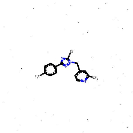 CCc1nc(-c2ccc(C(F)(F)F)cc2)nn1Cc1ccnc(C(F)(F)F)c1